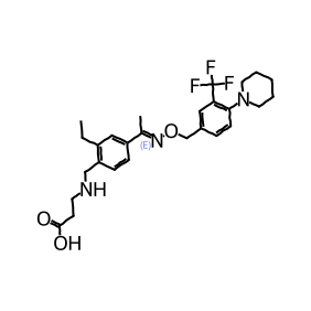 CCc1cc(/C(C)=N/OCc2ccc(N3CCCCC3)c(C(F)(F)F)c2)ccc1CNCCC(=O)O